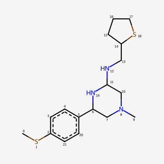 CSc1ccc(C2CN(C)CC(NCC3CCCS3)N2)cc1